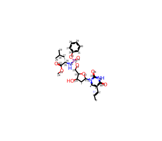 C/C=C/c1cn(C2CC(O)C(COP(=O)(N[C@@H](CC(C)C)C(=O)OC)Oc3ccccc3)O2)c(=O)[nH]c1=O